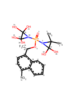 BC1(B)N(P(=O)(O[C@H](c2ccc([N+](=O)[O-])c3ccccc23)C(F)(F)F)N2C(O)(O)C2(O)O)C1(O)O